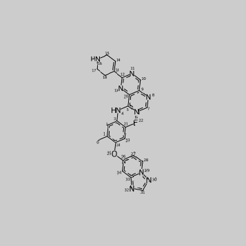 Cc1cc(Nc2ncnc3cnc(C4=CCNCC4)nc23)c(F)cc1Oc1ccn2ncnc2c1